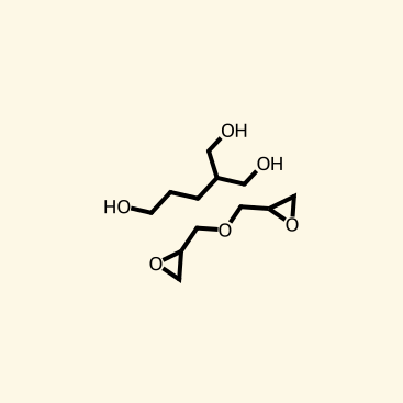 C(OCC1CO1)C1CO1.OCCCC(CO)CO